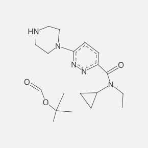 CC(C)(C)OC=O.CCN(C(=O)c1ccc(N2CCNCC2)nn1)C1CC1